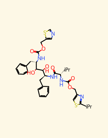 CC(C)c1nc(COC(=O)N[C@H](C(=O)N[C@@H](Cc2ccccc2)[C@H](O)[C@@H](O)[C@H](Cc2ccccc2)NC(=O)OCc2cncs2)C(C)C)cs1